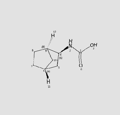 O=C(O)N[C@H]1C[C@@H]2CC[C@@H]1C2